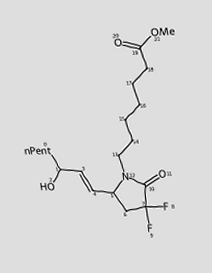 CCCCCC(O)C=CC1CC(F)(F)C(=O)N1CCCCCCC(=O)OC